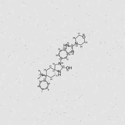 CN(C)[C@]1(c2ccccc2)CC[C@]2(CC1)CN(c1ccc3[nH]c(N4CCOCC4)nc3c1)C(O)N2